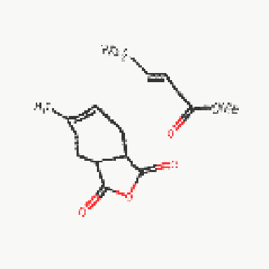 CC1=CCC2C(=O)OC(=O)C2C1.COC(=O)C=CC(=O)O